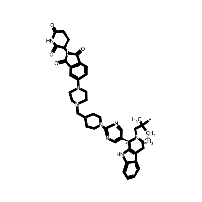 C[C@@H]1Cc2c([nH]c3ccccc23)[C@@H](c2cnc(N3CCC(CN4CCN(c5ccc6c(c5)C(=O)N(C5CCC(=O)NC5=O)C6=O)CC4)CC3)nc2)N1CC(C)(C)F